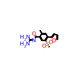 Cc1cc(-c2ccco2)c(S(C)(=O)=O)cc1C(=O)N=C(N)N